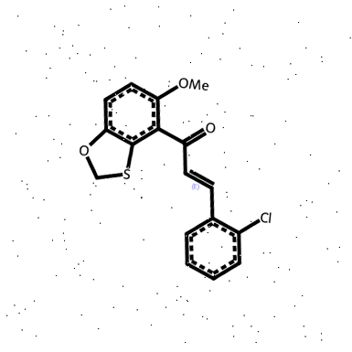 COc1ccc2c(c1C(=O)/C=C/c1ccccc1Cl)SCO2